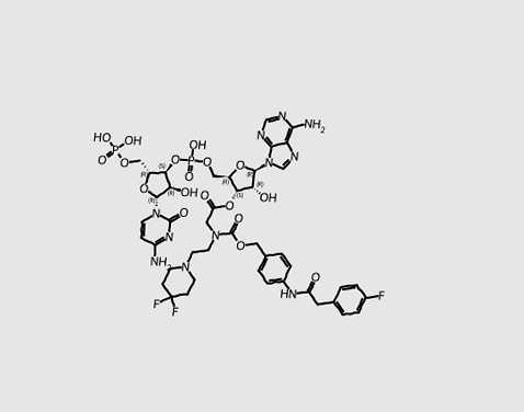 Nc1ccn([C@@H]2O[C@H](COP(=O)(O)O)[C@@H](OP(=O)(O)OC[C@H]3O[C@@H](n4cnc5c(N)ncnc54)[C@H](O)[C@@H]3OC(=O)CN(CCN3CCC(F)(F)CC3)C(=O)OCc3ccc(NC(=O)Cc4ccc(F)cc4)cc3)[C@H]2O)c(=O)n1